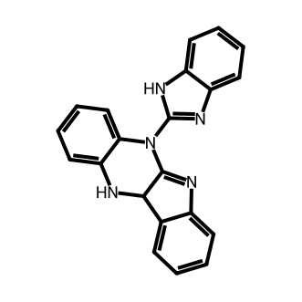 c1ccc2c(c1)N=C1C2Nc2ccccc2N1c1nc2ccccc2[nH]1